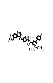 COc1cc2c(Oc3ccc(NC(=O)c4cn(C(C)C)cc(-c5ccc(F)cc5)c4=O)nc3)ccnc2cc1F